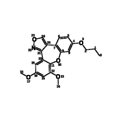 CCCOc1ccc2c(c1)Oc1c(OC)cc(OC)cc1-c1nocc1-2